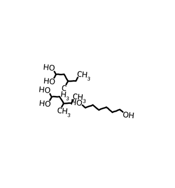 CCC(C)CC(O)O.CCC(C)CC(O)O.OCCCCCCO